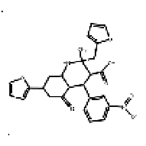 CC1(Cc2ccco2)NC2CC(c3cccs3)CC(=O)C2C(c2cccc([N+](=O)[O-])c2)C1C(=O)O